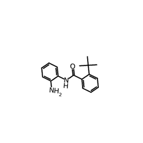 CC(C)(C)c1ccccc1C(=O)Nc1ccccc1N